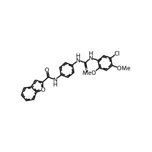 COc1cc(OC)c(NC(=S)Nc2ccc(NC(=O)c3cc4ccccc4o3)cc2)cc1Cl